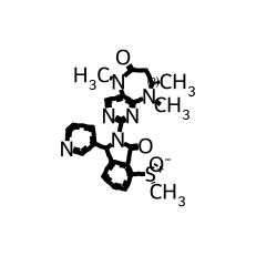 C[C@@H]1CC(=O)N(C)c2cnc(N3C(=O)c4c(cccc4[S+](C)[O-])C3c3cccnc3)nc2N1C